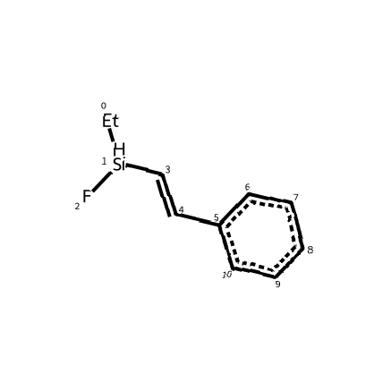 CC[SiH](F)C=Cc1ccccc1